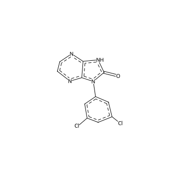 O=c1[nH]c2nccnc2n1-c1cc(Cl)cc(Cl)c1